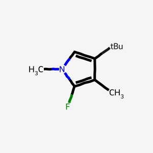 Cc1c(C(C)(C)C)cn(C)c1F